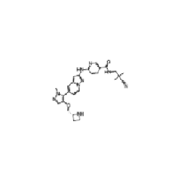 Cn1ncc(OC[C@H]2CCN2)c1-c1ccn2nc(Nc3ccc(C(=O)NCC(C)(C)C#N)cn3)cc2c1